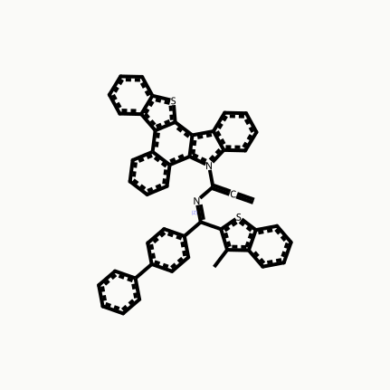 C=C=C(/N=C(/c1ccc(-c2ccccc2)cc1)c1sc2ccccc2c1C)n1c2ccccc2c2c3sc4ccccc4c3c3ccccc3c21